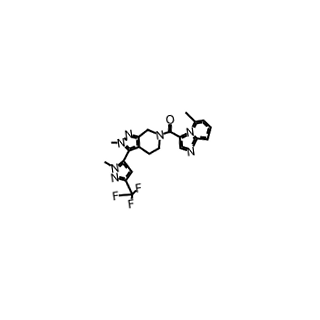 Cc1cccc2ncc(C(=O)N3CCc4c(nn(C)c4-c4cc(C(F)(F)F)nn4C)C3)n12